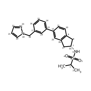 CC(C)S(=O)(=O)N[C@H]1Cc2ccc(-c3cccc(Cn4cccn4)c3)cc2C1